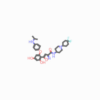 CC(C)Nc1ccc(Oc2cc(O)cc(O)c2-c2cc(C(=O)NC3CCN(C4CCC(F)(F)CC4)CC3)no2)cc1